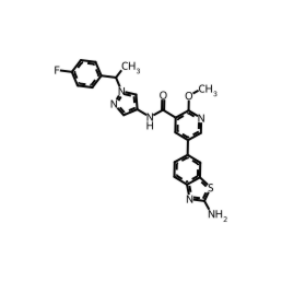 COc1ncc(-c2ccc3nc(N)sc3c2)cc1C(=O)Nc1cnn(C(C)c2ccc(F)cc2)c1